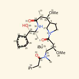 CC[C@H](C)[C@@H]([C@@H](CC(=O)N1CCC([C@H](OC)[C@@H](C)C(=O)N[C@H](C)[C@@H](O)c2ccccc2)C1)OC)N(C)C(=O)CC(C)C